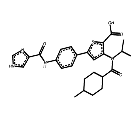 CC1CCC(C(=O)N(c2cc(-c3ccc(NC(=O)c4c[nH]cn4)cc3)sc2C(=O)O)C(C)C)CC1